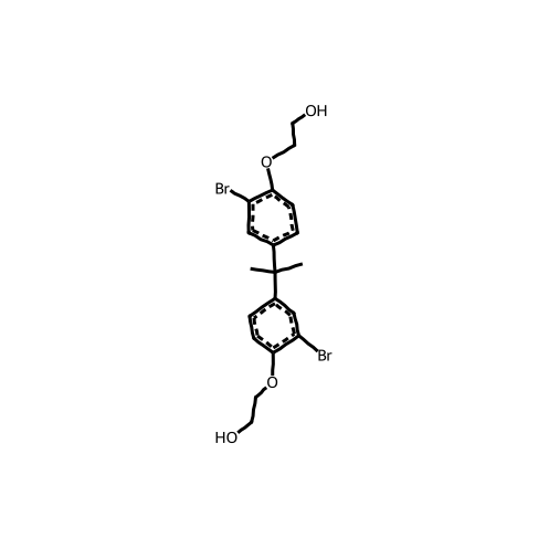 CC(C)(c1ccc(OCCO)c(Br)c1)c1ccc(OCCO)c(Br)c1